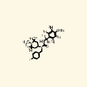 [2H]c1c([2H])c(C([2H])([2H])NC(=O)N(Cc2ccc(F)cc2)C2CC([2H])([2H])N(C)C([2H])([2H])C2)c([2H])c([2H])c1OCC(C)C